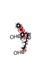 C/C(=C\CCC1(C)Oc2c(C=O)c(C=O)cc(OC(=O)Oc3ccccc3)c2CC1C)CC/C=C(\C)OC=O